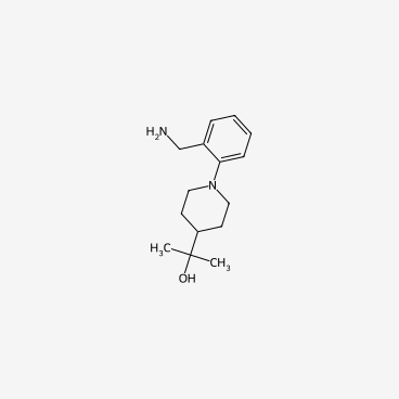 CC(C)(O)C1CCN(c2ccccc2CN)CC1